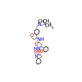 CC(C)CN(C)Cc1ccc2c(c1)OCCC2NC(=O)CC(NS(=O)(=O)c1nc2ccccc2s1)c1ccccc1